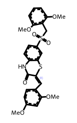 COc1ccc(/C=C2/Sc3cc(S(=O)(=O)Cc4c(OC)cccc4OC)ccc3NC2=O)c(OC)c1